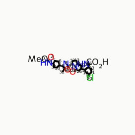 COC(=O)Nc1ccc(-c2nc([C@@H]3CCc4cc(-c5cc(Cl)ccc5NC(=O)O)cc(=O)n43)oc2C)cc1